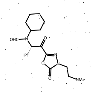 CNCCn1nc(C(=O)[C@H](C(C)C)N(C=O)C2CCCCC2)oc1=O